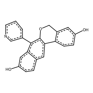 Oc1ccc2c(c1)COc1c-2cc2ccc(O)cc2c1-c1cccnc1